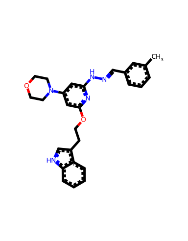 Cc1cccc(/C=N/Nc2cc(N3CCOCC3)cc(OCCc3c[nH]c4ccccc34)n2)c1